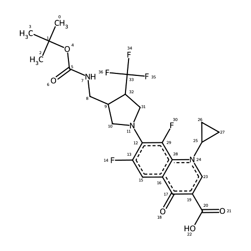 CC(C)(C)OC(=O)NCC1CN(c2c(F)cc3c(=O)c(C(=O)O)cn(C4CC4)c3c2F)CC1C(F)(F)F